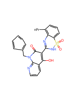 CCCc1cccc2c1N=C(c1c(O)c3cccnc3n(Cc3ccccc3)c1=O)NS2(=O)=O